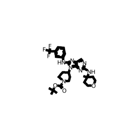 CC1(Nc2ncc3nc(Nc4cccc(C(F)(F)F)c4)n(C4CCN(C(=O)OC(C)(C)C)CC4)c3n2)CCOCC1